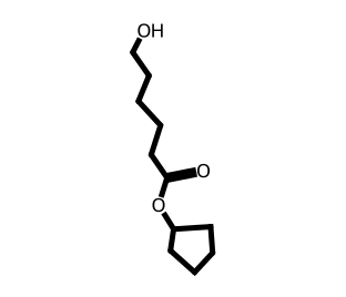 O=C(CCCCCO)OC1CCCC1